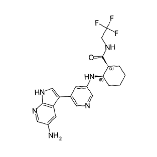 Nc1cnc2[nH]cc(-c3cncc(N[C@@H]4CCCC[C@@H]4C(=O)NCC(F)(F)F)c3)c2c1